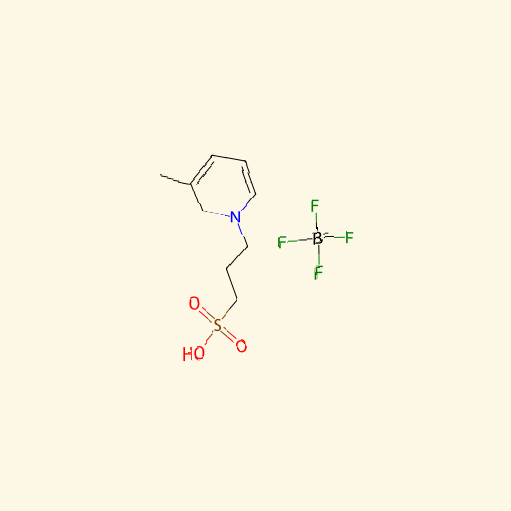 CC1=CC=CN(CCCS(=O)(=O)O)C1.F[B-](F)(F)F